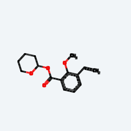 C=Cc1cccc(C(=O)OC2CCCCO2)c1OC